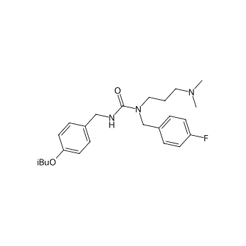 CC(C)COc1ccc(CNC(=O)N(CCCN(C)C)Cc2ccc(F)cc2)cc1